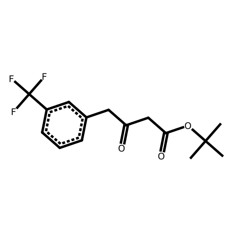 CC(C)(C)OC(=O)CC(=O)Cc1cccc(C(F)(F)F)c1